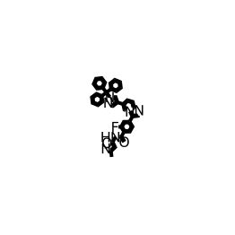 Cc1cc(NC(=O)c2ccc(-c3cnc4ccc(-c5cnn(C(c6ccccc6)(c6ccccc6)c6ccccc6)c5)cn34)cc2F)on1